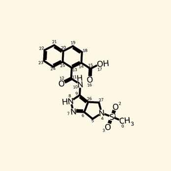 CS(=O)(=O)N1Cc2n[nH]c(NC(=O)c3c(C(=O)O)ccc4ccccc34)c2C1